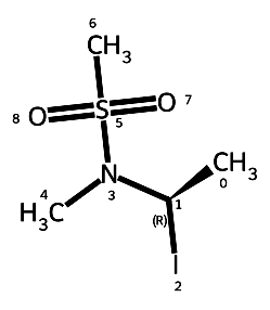 C[C@@H](I)N(C)S(C)(=O)=O